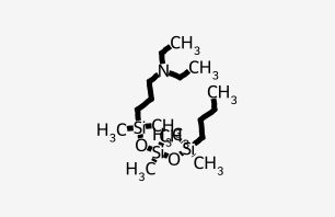 CCCC[Si](C)(C)O[Si](C)(C)O[Si](C)(C)CCCN(CC)CC